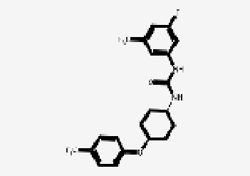 O=C(Nc1cc(F)cc(C(F)(F)F)c1)N[C@H]1CC[C@H](Oc2ccc(C(F)(F)F)cc2)CC1